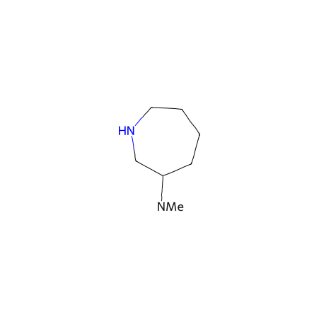 CNC1CCCCNC1